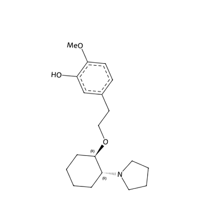 COc1ccc(CCO[C@@H]2CCCC[C@H]2N2CCCC2)cc1O